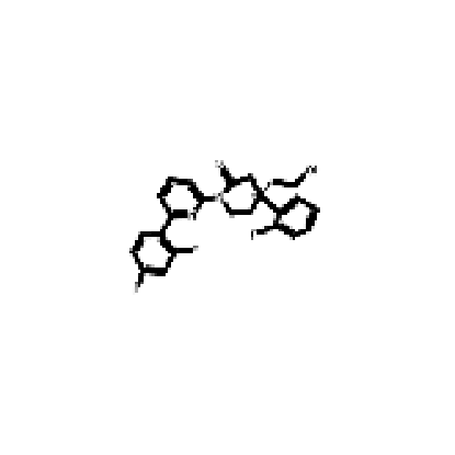 O=C1C[C@@](CCO)(c2ccccc2F)CCN1c1cccc(-c2ccc(F)cc2F)n1